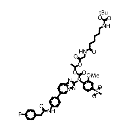 COc1cc(S(C)(=O)=O)ccc1N(C(=O)OC(C)OC(=O)CNC(=O)CCCCCNC(=O)OC(C)(C)C)c1nc2ccc(-c3ccc(NC(=O)Cc4ccc(F)cc4)cc3)cn2n1